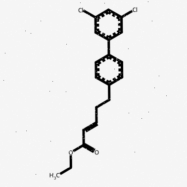 CCOC(=O)/C=C/CCc1ccc(-c2cc(Cl)cc(Cl)c2)cc1